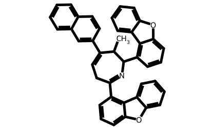 CC1C(c2ccc3ccccc3c2)=CCC(c2cccc3oc4ccccc4c23)=NC1c1cccc2oc3ccccc3c12